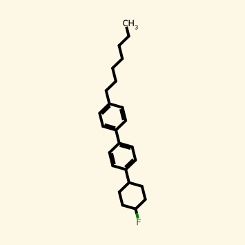 CCCCCCCc1ccc(-c2ccc(C3CCC(F)CC3)cc2)cc1